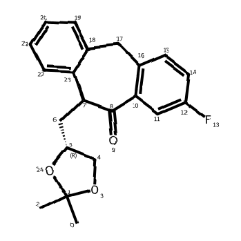 CC1(C)OC[C@@H](CC2C(=O)c3cc(F)ccc3Cc3ccccc32)O1